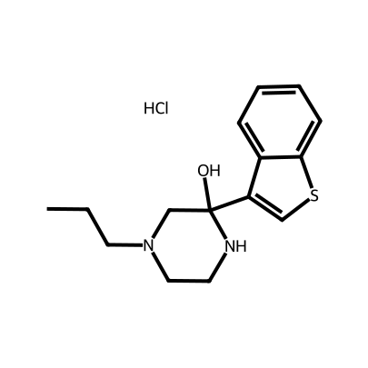 CCCN1CCNC(O)(c2csc3ccccc23)C1.Cl